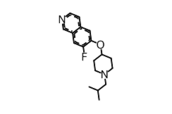 CC(C)CN1CCC(Oc2cc3ccncc3cc2F)CC1